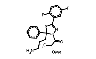 CO[C@H](C)C(=O)N1N=C(c2cc(F)ccc2F)S[C@@]1(CCCN)c1ccccc1